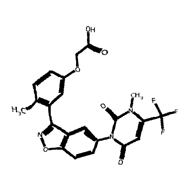 Cc1ccc(OCC(=O)O)cc1-c1noc2ccc(-n3c(=O)cc(C(F)(F)F)n(C)c3=O)cc12